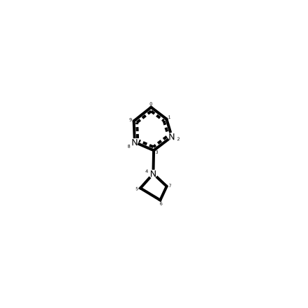 c1cnc(N2CCC2)nc1